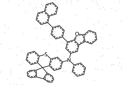 c1ccc(N(c2ccc3c(c2)Sc2ccccc2C32c3ccccc3-c3ccccc32)c2cc(-c3ccc(-c4cccc5ccccc45)cc3)c3oc4ccccc4c3c2)cc1